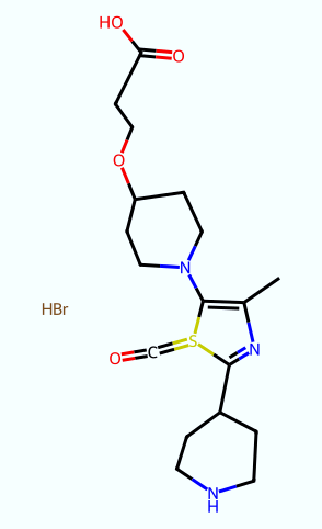 Br.CC1=C(N2CCC(OCCC(=O)O)CC2)S(=C=O)C(C2CCNCC2)=N1